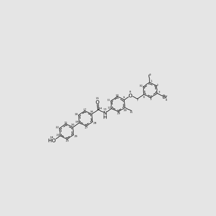 Cc1cc(Br)cc(COc2ccc(NC(=O)c3ccc(-c4ccc(O)cc4)cc3)cc2C)c1